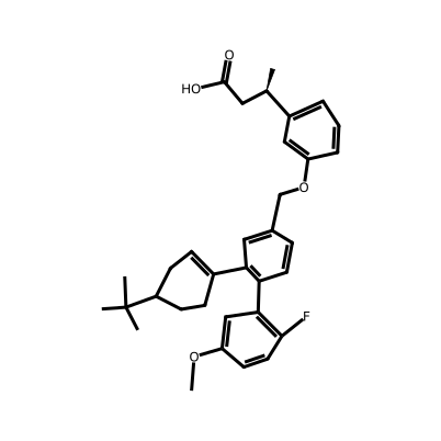 COc1ccc(F)c(-c2ccc(COc3cccc([C@H](C)CC(=O)O)c3)cc2C2=CCC(C(C)(C)C)CC2)c1